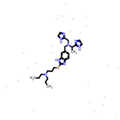 CCCN(CCC)CCCSc1nc2ccc(CN(Cc3ncc[nH]3)C(C)c3ncc[nH]3)cc2[nH]1